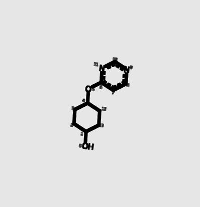 OC1CCC(Oc2ccncn2)CC1